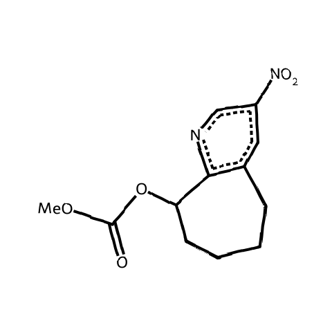 COC(=O)OC1CCCCc2cc([N+](=O)[O-])cnc21